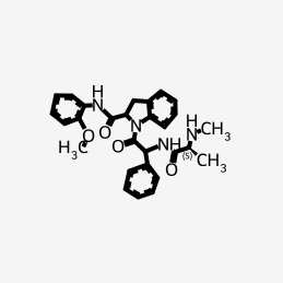 CN[C@@H](C)C(=O)NC(C(=O)N1c2ccccc2CC1C(=O)Nc1ccccc1OC)c1ccccc1